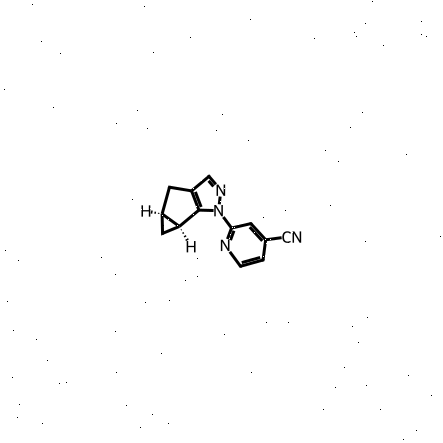 N#Cc1ccnc(-n2ncc3c2[C@H]2C[C@H]2C3)c1